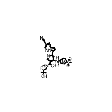 CC(C)(O)[C@H](F)CNC(=O)c1cnc(-c2ccc3cc(C#N)cnn23)cc1N[C@H]1CC2CCC1CN2S(C)(=O)=O